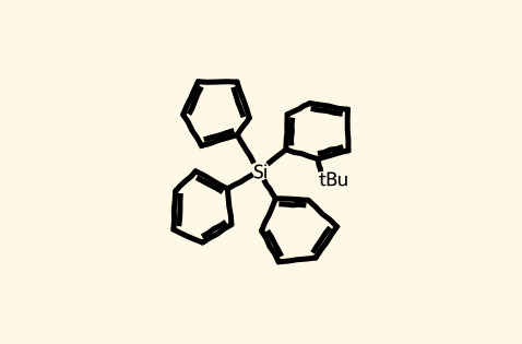 CC(C)(C)c1ccccc1[Si](c1ccccc1)(c1ccccc1)c1ccccc1